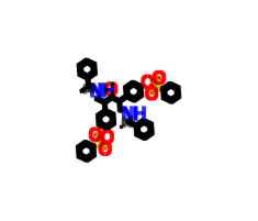 C[C@H](NCC(C(=O)C(CN[C@@H](C)c1ccccc1)c1ccc(OS(=O)(=O)c2ccccc2)cc1)c1ccc(OS(=O)(=O)c2ccccc2)cc1)c1ccccc1